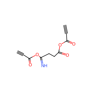 C#CC(=O)OC(=N)CCC(=O)OC(=O)C#C